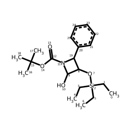 CC[Si](CC)(CC)OC1C(O)N(C(=O)OC(C)(C)C)C1c1ccccc1